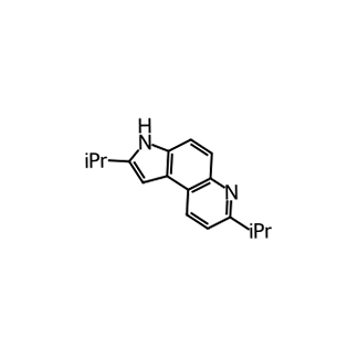 CC(C)c1ccc2c(ccc3[nH]c(C(C)C)cc32)n1